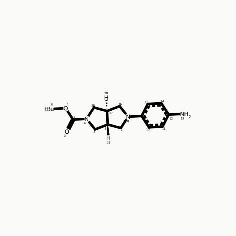 CC(C)(C)OC(=O)N1C[C@H]2CN(c3ccc(N)cc3)C[C@@H]2C1